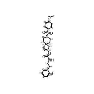 COc1ccc(S(=O)(=O)N2CCC3(CC2)CC(OC(=O)NCCc2ccccc2F)=NO3)cc1